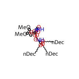 CCCCCCCCCCCCCCCCCCOc1cc(CNC(=O)CCC(=O)O[C@@H]2C[C@H](n3cc(C)c(=O)[nH]c3=O)O[C@@H]2COC(c2ccccc2)(c2ccc(OC)cc2)c2ccc(OC)cc2)cc(OCCCCCCCCCCCCCCCCCC)c1OCCCCCCCCCCCCCCCCCC